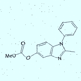 COC(=O)Oc1ccc2c(c1)nc(C)n2-c1ccccc1